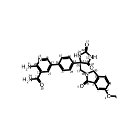 COc1ccc2c(c1)C(=O)N(C[C@@]1(c3ccc(-c4cnc(N)c(C(N)=O)c4)cc3)NC(=O)NC1=O)C2